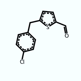 O=Cc1ccc(Cc2ccc(Cl)cc2)s1